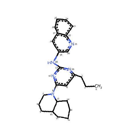 CCCc1cc(N2CCCC3CCCCC32)nc(Nc2cnc3ccccc3c2)n1